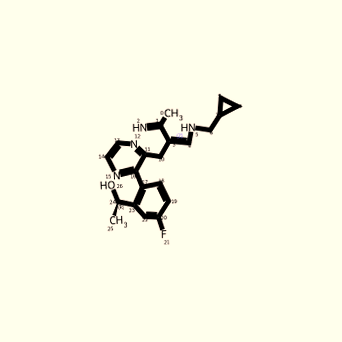 CC(=N)/C(=C\NCC1CC1)Cc1nccnc1-c1ccc(F)cc1[C@@H](C)O